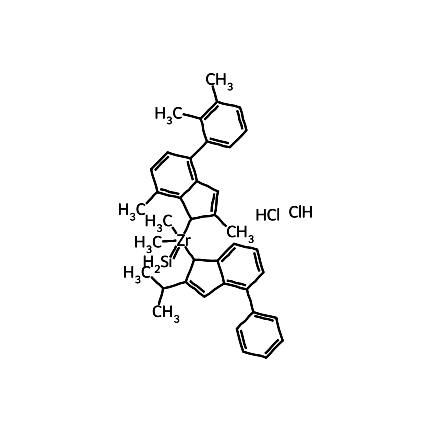 CC1=Cc2c(-c3cccc(C)c3C)ccc(C)c2[CH]1[Zr]([CH3])([CH3])(=[SiH2])[CH]1C(C(C)C)=Cc2c(-c3ccccc3)cccc21.Cl.Cl